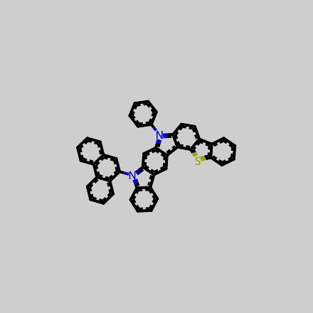 c1ccc(-n2c3cc4c(cc3c3c5sc6ccccc6c5ccc32)c2ccccc2n4-c2cc3ccccc3c3ccccc23)cc1